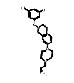 C=CCN1CCN(c2ccc3c(c2)CN(Sc2cc(Cl)cc(Cl)c2)CC3)CC1